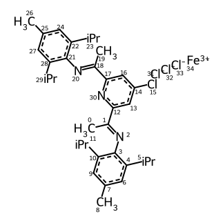 CC(=Nc1c(C(C)C)cc(C)cc1C(C)C)c1cc(Cl)cc(C(C)=Nc2c(C(C)C)cc(C)cc2C(C)C)n1.[Cl-].[Cl-].[Cl-].[Fe+3]